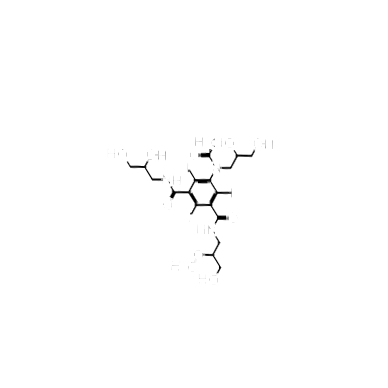 COC(CO)CNC(=O)c1c(I)c(C(=O)NCC(O)CO)c(I)c(N(CC(O)CO)C(C)=O)c1I